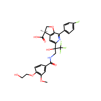 COc1cc(C(=O)NCC(O)(c2cc3c(c(-c4ccc(F)cc4)n2)OC[C@]3(C)C(=O)O)C(F)(F)F)ccc1OCCO